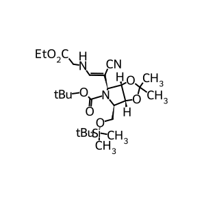 CCOC(=O)CNC=C(C#N)[C@H]1[C@@H]2OC(C)(C)O[C@@H]2[C@@H](CO[Si](C)(C)C(C)(C)C)N1C(=O)OC(C)(C)C